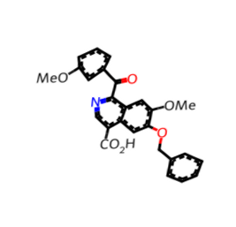 COc1cccc(C(=O)c2ncc(C(=O)O)c3cc(OCc4ccccc4)c(OC)cc23)c1